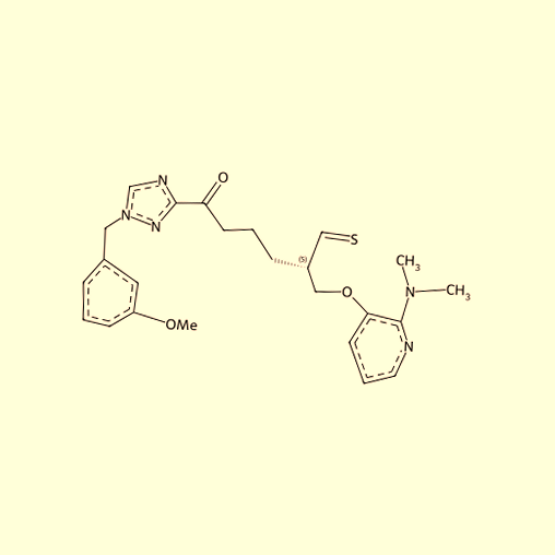 COc1cccc(Cn2cnc(C(=O)CCC[C@H](C=S)COc3cccnc3N(C)C)n2)c1